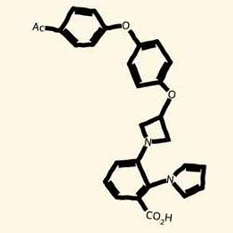 CC(=O)c1ccc(Oc2ccc(OC3CN(c4cccc(C(=O)O)c4-n4cccc4)C3)cc2)cc1